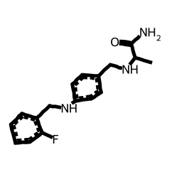 CC(NCc1ccc(NCc2ccccc2F)cc1)C(N)=O